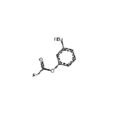 CCCCc1cccc(OC(=O)CC)c1